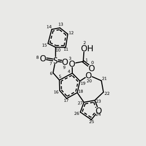 O=C(O)Oc1c(CS(=O)(=O)c2ccccc2)ccc2c1OCCc1occc1-2